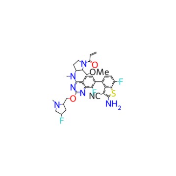 C=CC(=O)N1CCC(N(C)c2nc(OCC3CC(F)CN3C)nc3c(F)c(-c4ccc(F)c5sc(N)c(C#N)c45)ccc23)C1COC